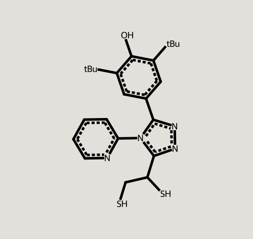 CC(C)(C)c1cc(-c2nnc(C(S)CS)n2-c2ccccn2)cc(C(C)(C)C)c1O